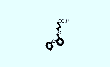 O=C(O)CCCOCc1ccccc1Oc1ccccc1